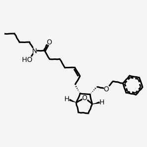 CCCCN(O)C(=O)CCC/C=C\C[C@@H]1[C@H](COCc2ccccc2)[C@@H]2CC[C@H]1O2